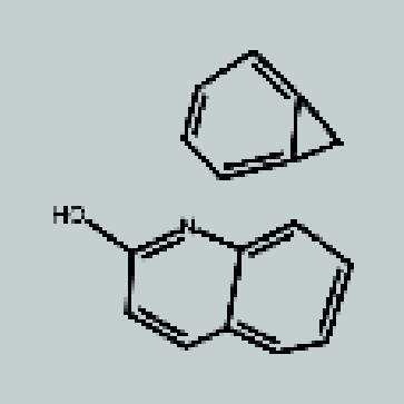 Oc1ccc2ccccc2n1.c1ccc2c(c1)C2